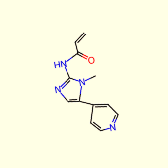 C=CC(=O)Nc1ncc(-c2ccncc2)n1C